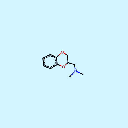 CN(C)CC1COc2cc[c]cc2O1